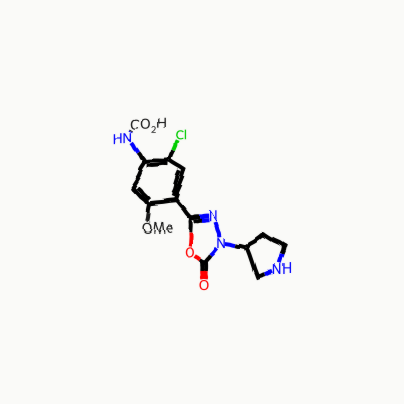 COc1cc(NC(=O)O)c(Cl)cc1-c1nn(C2CCNC2)c(=O)o1